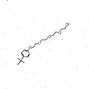 COCCOCCOCCOCCOc1ccc(C(C)(C)C)cc1